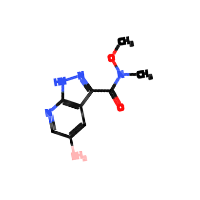 Bc1cnc2[nH]nc(C(=O)N(C)OC)c2c1